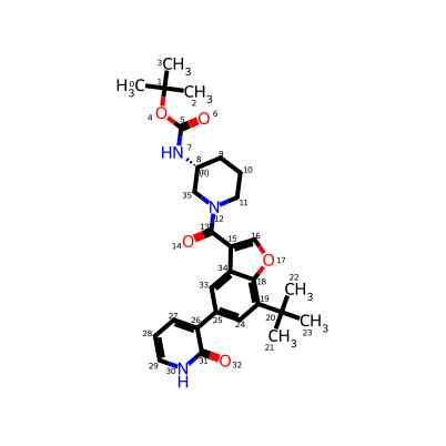 CC(C)(C)OC(=O)N[C@@H]1CCCN(C(=O)c2coc3c(C(C)(C)C)cc(-c4ccc[nH]c4=O)cc23)C1